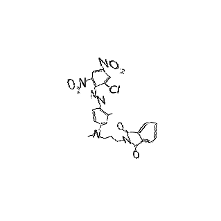 Cc1cc(N(C)CCCN2C(=O)c3ccccc3C2=O)ccc1/N=N/c1c(Cl)cc([N+](=O)[O-])cc1[N+](=O)[O-]